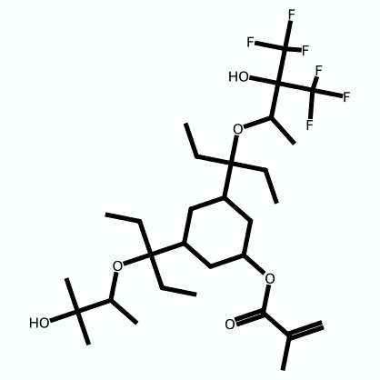 C=C(C)C(=O)OC1CC(C(CC)(CC)OC(C)C(C)(C)O)CC(C(CC)(CC)OC(C)C(O)(C(F)(F)F)C(F)(F)F)C1